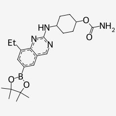 CCc1cc(B2OC(C)(C)C(C)(C)O2)cc2cnc(NC3CCC(OC(N)=O)CC3)nc12